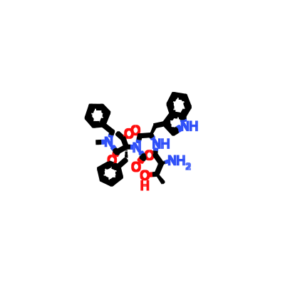 CC(=O)[C@](Cc1ccccc1)(C(=O)N(C)Cc1ccccc1)N(C=O)C(=O)[C@@H](Cc1c[nH]c2ccccc12)NC(=O)[C@@H](N)[C@@H](C)O